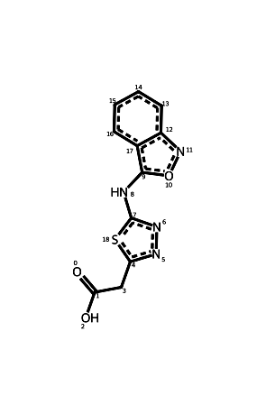 O=C(O)Cc1nnc(Nc2onc3ccccc23)s1